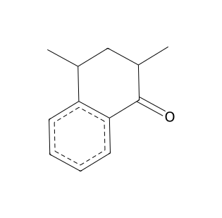 CC1CC(C)c2ccccc2C1=O